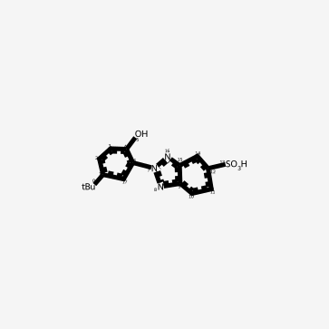 CC(C)(C)c1ccc(O)c(-n2nc3ccc(S(=O)(=O)O)cc3n2)c1